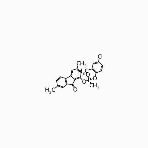 Cc1ccc2c(c1)C(=O)c1c(OP(C)(=O)Oc3ccc(Cl)cc3C)cc(C)cc1-2